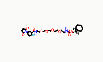 O=C(NCCOCCOCCOCCOCCNC(=O)c1cc(N2C(=O)C=CC2=O)ccc1F)OC[C@@H]1[C@@H]2CCCCCC[C@@H]21